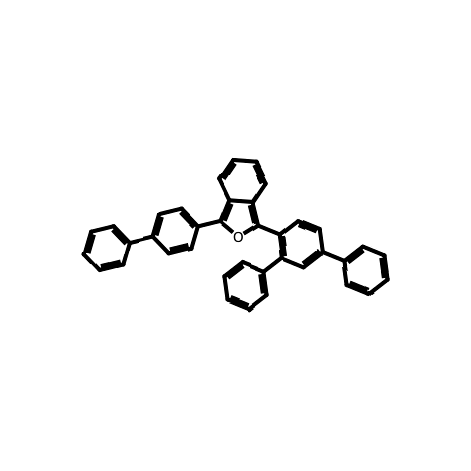 c1ccc(-c2ccc(-c3oc(-c4ccc(-c5ccccc5)cc4-c4ccccc4)c4ccccc34)cc2)cc1